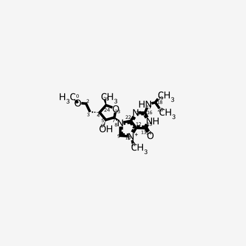 COCC[C@H]1[C@@H](O)[C@H](n2c[n+](C)c3c(=O)[nH]c(NC(C)C)nc32)O[C@@H]1C